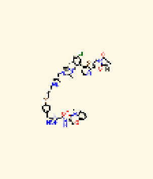 Cc1cc(Cl)cc(-c2ccnc3cc(CN4C(=O)C5C[C@H]5C4=O)sc23)c1CN1[C@@H](C)CN(Cc2cnn(CCCCSc3ccc(Cc4nc(C(=O)N[C@H]5COc6ccccc6N(C)C5=O)n[nH]4)cc3)c2)C[C@@H]1C